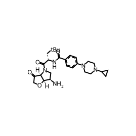 CC(C)(C)C[C@H](NC(=O)c1ccc(N2CCN(C3CC3)CC2)cc1)C(=O)N1C[C@@H](N)[C@H]2OCC(=O)[C@H]21